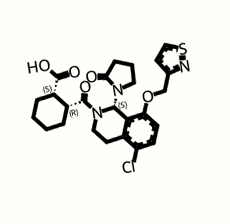 O=C(O)[C@H]1CCCC[C@H]1C(=O)N1CCc2c(Cl)ccc(OCc3ccsn3)c2[C@H]1N1CCCC1=O